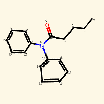 CCCCC(=O)N(c1ccccc1)c1ccccc1